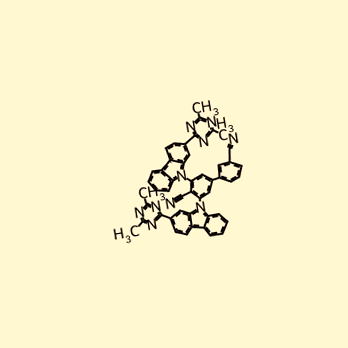 Cc1nc(C)nc(-c2ccc3c4ccccc4n(-c4cc(-c5cccc(C#N)c5)cc(-n5c6ccccc6c6ccc(-c7nc(C)nc(C)n7)cc65)c4C#N)c3c2)n1